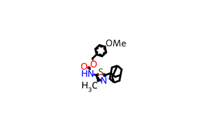 COc1ccc(COC(=O)Nc2sc(C34CC5CC(CC(C5)C3)C4)nc2C)cc1